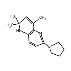 CC1=CC(C)(C)Nc2ccc(N3CCCC3)nc21